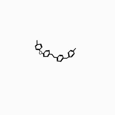 Cc1ccc(Cc2ccc(CCc3ccc(Oc4ccc(C)cc4)cc3)cc2)cc1